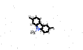 Cc1ccc2c(c1)c1ccc(C)cc1n2C(C)C